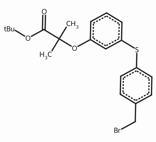 CC(C)(C)OC(=O)C(C)(C)Oc1cccc(Sc2ccc(CBr)cc2)c1